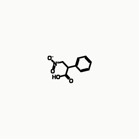 O=C(O)C(C[N+](=O)[O-])c1ccccc1